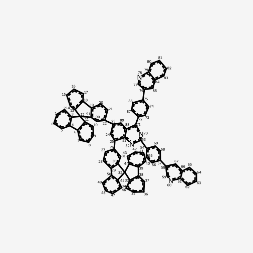 c1ccc2c(c1)-c1ccccc1C21c2ccccc2-c2ccc(-c3cc(-c4ccc5c(c4)C4(c6ccccc6-c6ccccc64)c4ccccc4-5)c4nc(-c5ccc(-c6cnc7ccccc7c6)cc5)nc(-c5ccc(-c6cnc7ccccc7c6)cc5)c4c3)cc21